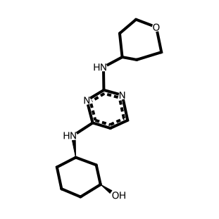 O[C@H]1CCC[C@@H](Nc2ccnc(NC3CCOCC3)n2)C1